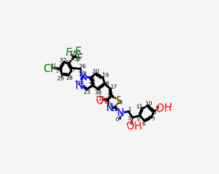 CN(CC(O)c1ccc(O)cc1)C1=NC(=O)C(=Cc2ccc3c(cnn3Cc3ccc(Cl)cc3C(F)(F)F)c2)S1